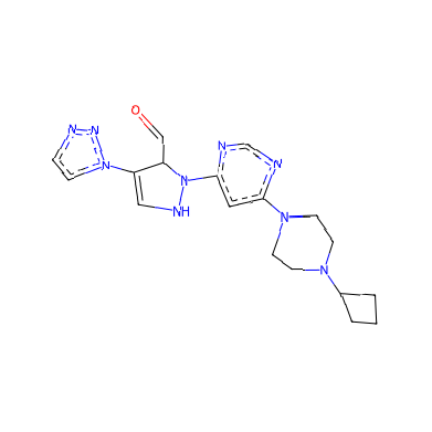 O=CC1C(n2ccnn2)=CNN1c1cc(N2CCN(C3CCC3)CC2)ncn1